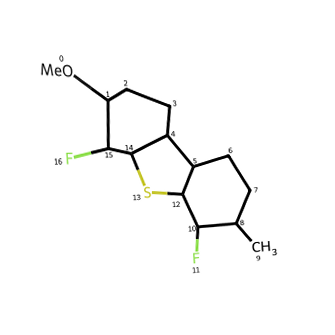 COC1CCC2C3CCC(C)C(F)C3SC2C1F